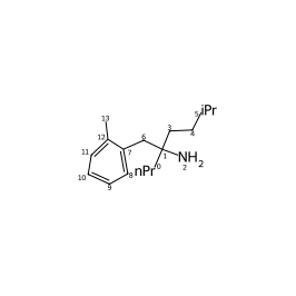 CCCC(N)(CCC(C)C)Cc1ccccc1C